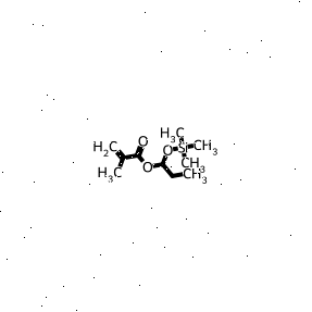 C=C(C)C(=O)OC(CC)O[Si](C)(C)C